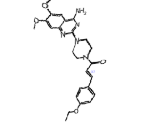 CCOc1ccc(/C=C/C(=O)N2CCN(c3nc(N)c4cc(OC)c(OC)cc4n3)CC2)cc1